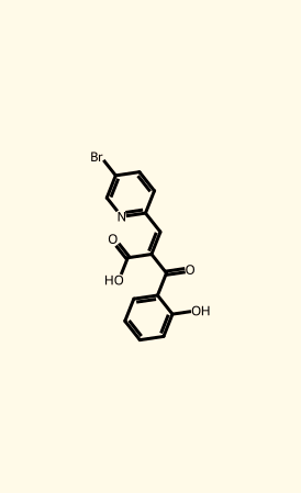 O=C(O)C(=Cc1ccc(Br)cn1)C(=O)c1ccccc1O